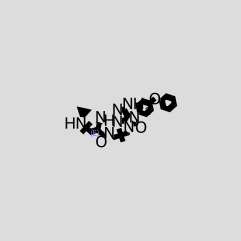 CC(C)(CNC(=O)/C(C#N)=C/C(C)(C)NC1CC1)Cn1c(=O)n(-c2ccc(Oc3ccccc3)cc2)c2c(N)ncnc21